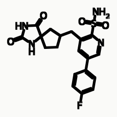 NS(=O)(=O)c1ncc(-c2ccc(F)cc2)cc1CC1CCC2(C1)NC(=O)NC2=O